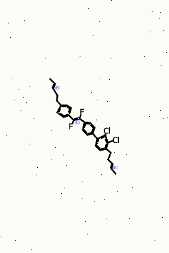 C/C=C/CCc1ccc(/C(F)=C(\F)c2ccc(-c3ccc(CC/C=C/C)c(Cl)c3Cl)cc2)cc1